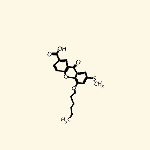 CCCCCCOc1cc(SC)cc2c(=O)c3cc(C(=O)O)ccc3oc12